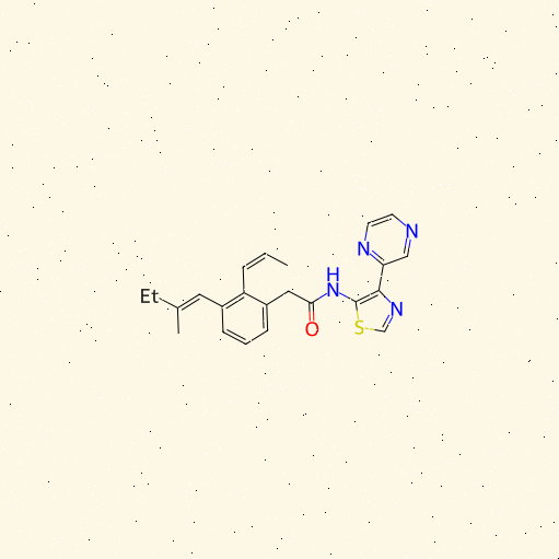 C/C=C\c1c(/C=C(\C)CC)cccc1CC(=O)Nc1scnc1-c1cnccn1